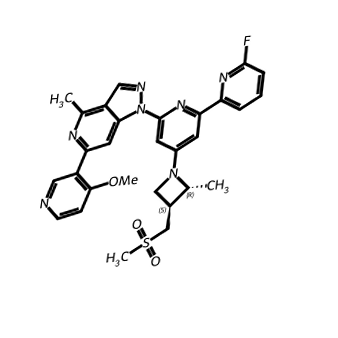 COc1ccncc1-c1cc2c(cnn2-c2cc(N3C[C@H](CS(C)(=O)=O)[C@H]3C)cc(-c3cccc(F)n3)n2)c(C)n1